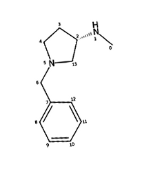 CN[C@H]1CCN(Cc2ccccc2)C1